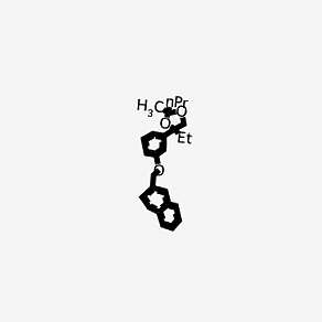 CCCC1(C)OCC(CC)(c2cccc(OCc3ccc4ccccc4c3)c2)O1